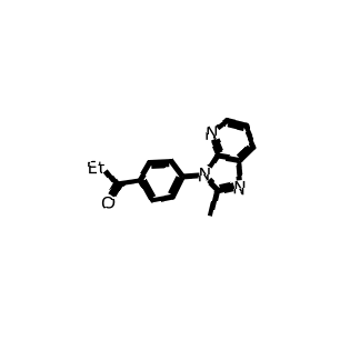 CCC(=O)c1ccc(-n2c(C)nc3cccnc32)cc1